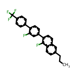 CCCc1ccc2c(F)c(-c3ccc(-c4ccc(C(F)(F)F)cc4)c(F)c3)ccc2c1